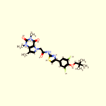 Cc1cn(CC(=O)Nc2nc(-c3cc(F)c(OCC(C)(C)C)c(F)c3)cs2)c2c(=O)n(C)c(=O)n(C)c12